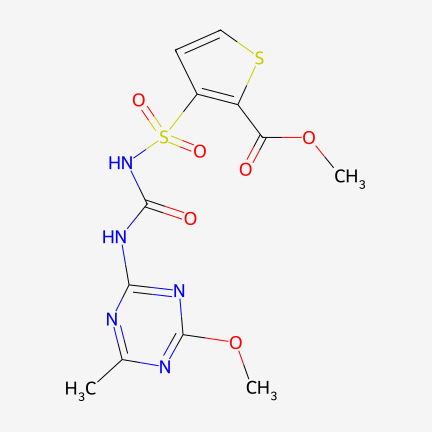 COC(=O)c1sccc1S(=O)(=O)NC(=O)Nc1nc(C)nc(OC)n1